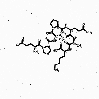 CC(C)[C@H](NC(=O)[C@@H]1CCCN1C(=O)[C@@H](N)CCC(=O)O)C(=O)N1CCC[C@H]1C(=O)N[C@@H](CCC(N)=O)C(=O)N[C@@H](C)C(=O)N[C@@H](CCCCN)C(=O)O